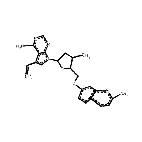 C=Cc1cn(C2CC(C)C(COc3ccc4ccc(N)nc4c3)O2)c2ncnc(N)c12